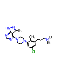 CCc1n[nH]c2ncnc(N3CCN(c4cc(Cl)cc(CCCN(CC)CC)c4C)CC3)c12